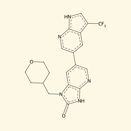 O=c1[nH]c2ncc(-c3cnc4[nH]cc(C(F)(F)F)c4c3)cc2n1CC1CCOCC1